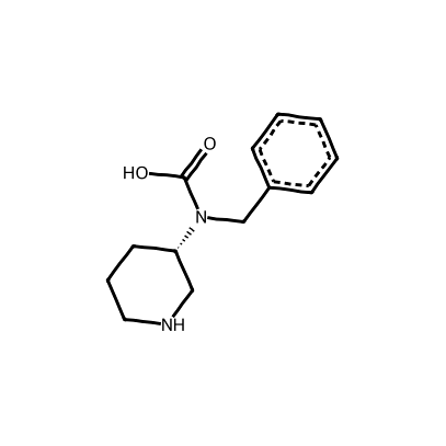 O=C(O)N(Cc1ccccc1)[C@H]1CCCNC1